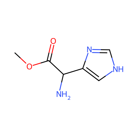 COC(=O)C(N)c1c[nH]cn1